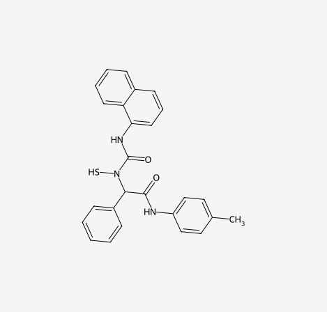 Cc1ccc(NC(=O)C(c2ccccc2)N(S)C(=O)Nc2cccc3ccccc23)cc1